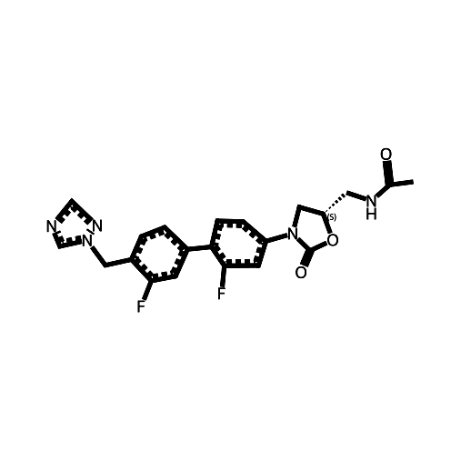 CC(=O)NC[C@H]1CN(c2ccc(-c3ccc(Cn4cncn4)c(F)c3)c(F)c2)C(=O)O1